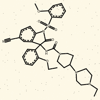 CCOc1ccccc1C1(NC(=O)N2CCC(N3CCN(CC)CC3)CC2)C(=O)N(S(=O)(=O)c2ccccc2OC)c2ccc(C#N)cc21